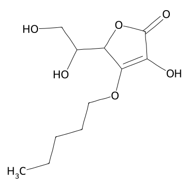 CCCCCOC1=C(O)C(=O)OC1C(O)CO